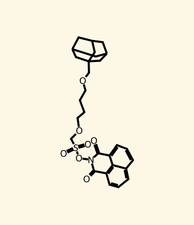 O=C1c2cccc3cccc(c23)C(=O)N1OS(=O)(=O)COCCCCOCC12CC3CC(CC(C3)C1)C2